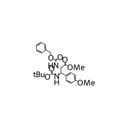 COC(=O)[C@@H](NC(=O)OCc1ccccc1)[C@H](NC(=O)OC(C)(C)C)c1ccc(OC)cc1